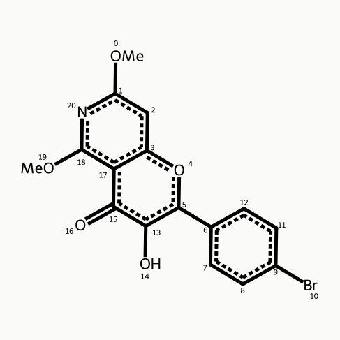 COc1cc2oc(-c3ccc(Br)cc3)c(O)c(=O)c2c(OC)n1